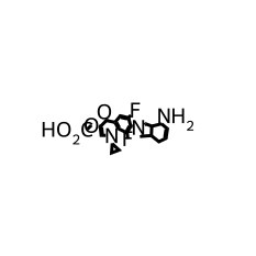 NC1C=CCC2CN(c3c(F)cc4c(=O)c(OC(=O)O)cn(C5CC5)c4c3F)CC12